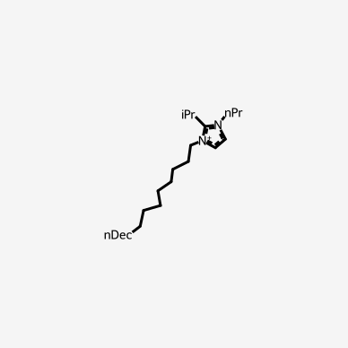 CCCCCCCCCCCCCCCCCC[n+]1ccn(CCC)c1C(C)C